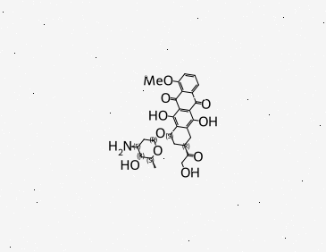 COc1cccc2c1C(=O)c1c(O)c3c(c(O)c1C2=O)C[C@@H](C(=O)CO)C[C@@H]3O[C@H]1C[C@H](N)[C@@H](O)[C@H](C)O1